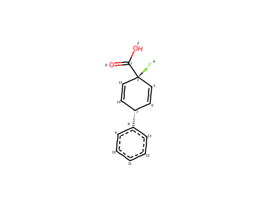 O=C(O)[C@]1(F)C=C[C@H](c2ccccc2)C=C1